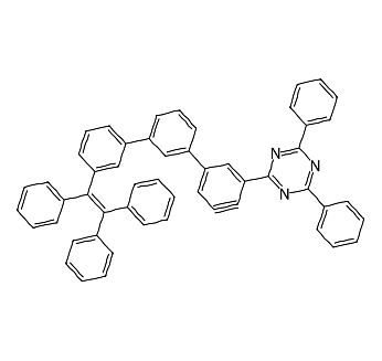 c1cc(-c2cccc(-c3cccc(C(=C(c4ccccc4)c4ccccc4)c4ccccc4)c3)c2)cc(-c2nc(-c3ccccc3)nc(-c3ccccc3)n2)c#1